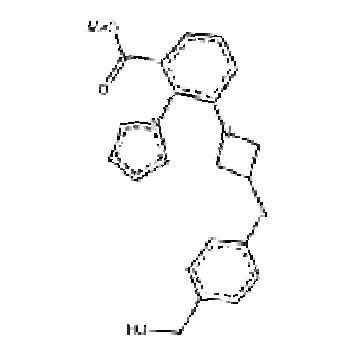 COC(=O)c1cccc(N2CC(Sc3ccc(CO)cc3)C2)c1-n1cccc1